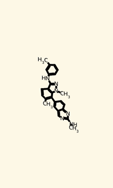 CNc1ncc2cc(-c3c(C)ccc4c(Nc5cccc(C)c5)nn(C)c34)ccc2n1